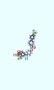 O=C(COC1CCC(Nc2ccc(N(O)O)c(C(F)(F)F)c2)CC1)N1CCCN(c2ccc(SC(F)(F)F)cc2)CC1